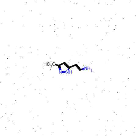 NC=Cc1cc(C(=O)O)n[nH]1